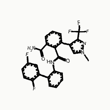 Cn1cc(-c2cccc(C(N)=O)c2C(=O)Nc2ccccc2-c2cc(F)ccc2F)c(C(F)(F)F)n1